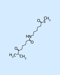 CSC(=O)CCCCCNC(=O)CCCCC(=O)C(C)C